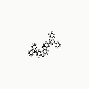 c1ccc(-c2nc(-c3ccccc3)nc(-c3ccc4sc5c(ccc6oc7ccc(-n8c9ccccc9c9ccccc98)cc7c65)c4c3)n2)cc1